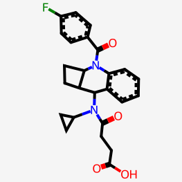 O=C(O)CCC(=O)N(C1CC1)C1c2ccccc2N(C(=O)c2ccc(F)cc2)C2CCC21